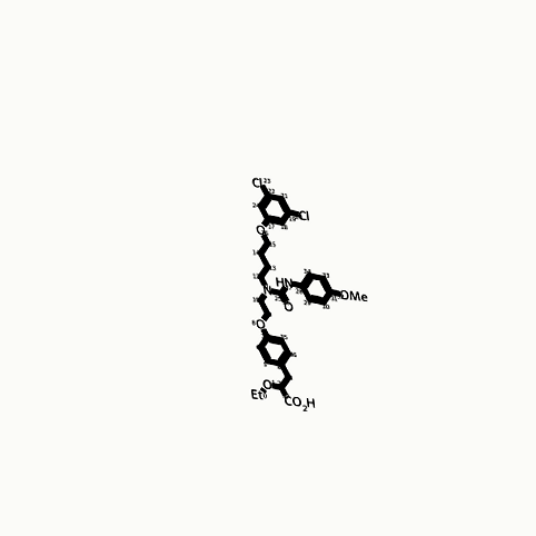 CCOC(Cc1ccc(OCCN(CCCCOc2cc(Cl)cc(Cl)c2)C(=O)Nc2ccc(OC)cc2)cc1)C(=O)O